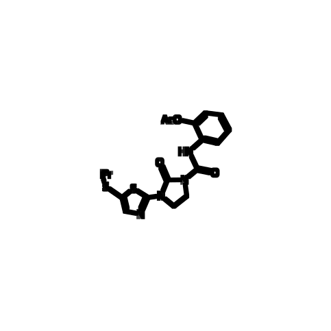 CC(=O)Oc1ccccc1NC(=O)N1CCN(c2ncc(SC(C)C)s2)C1=O